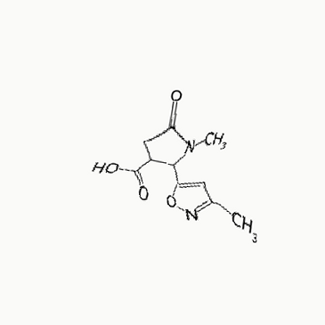 Cc1cc(C2C(C(=O)O)CC(=O)N2C)on1